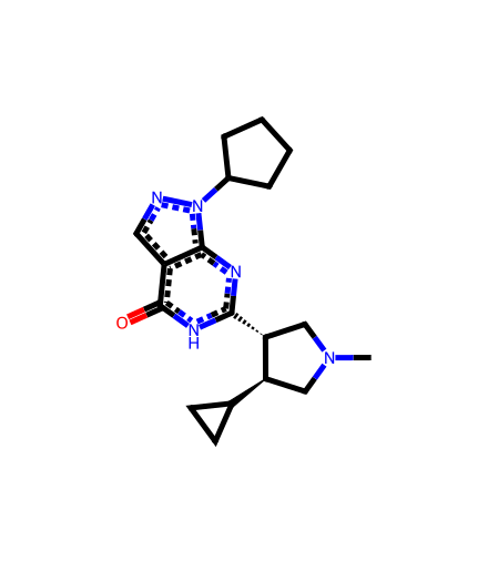 CN1C[C@@H](c2nc3c(cnn3C3CCCC3)c(=O)[nH]2)[C@H](C2CC2)C1